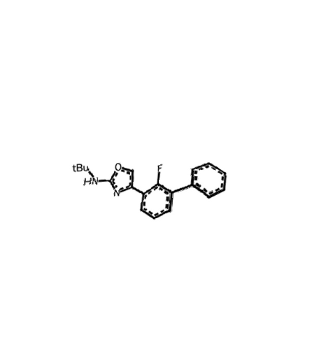 CC(C)(C)Nc1nc(-c2cccc(-c3ccccc3)c2F)co1